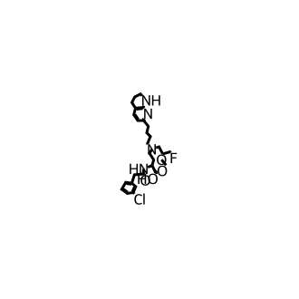 COC(CF)CN(CCCCc1ccc2c(n1)NCCC2)CCC(NC(=O)Cc1cccc(Cl)c1)C(=O)O